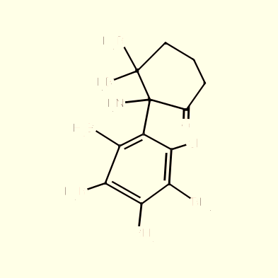 Bc1c(B)c(B)c(C2(N)C(=O)CCCC2(B)B)c(Cl)c1B